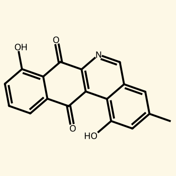 Cc1cc(O)c2c3c(ncc2c1)C(=O)c1c(O)cccc1C3=O